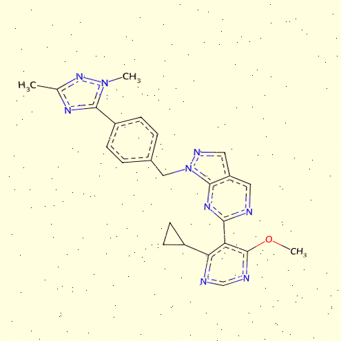 COc1ncnc(C2CC2)c1-c1ncc2cnn(Cc3ccc(-c4nc(C)nn4C)cc3)c2n1